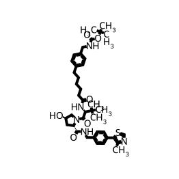 Cc1ncsc1-c1ccc(CNC(=O)[C@@H]2C[C@@H](O)CN2C(=O)[C@@H](NC(=O)CCCCCc2ccc(CNC(=O)OC(C)(C)C)cc2)C(C)(C)C)cc1